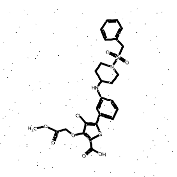 COC(=O)COc1c(C(=O)O)sc(-c2cccc(NC3CCN(S(=O)(=O)Cc4ccccc4)CC3)c2)c1Cl